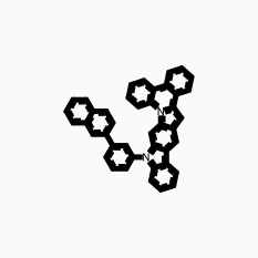 c1cc(-c2ccc3ccccc3c2)cc(-n2c3ccccc3c3cc4cc5c6ccccc6c6ccccc6n5c4cc32)c1